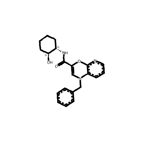 O=C(N[C@H]1CCCC[C@@H]1O)C1=CN(Cc2ccccc2)c2cccnc2O1